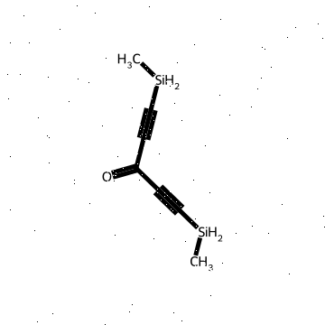 C[SiH2]C#CC(=O)C#C[SiH2]C